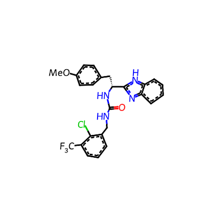 COc1ccc(C[C@@H](NC(=O)NCc2cccc(C(F)(F)F)c2Cl)c2nc3ccccc3[nH]2)cc1